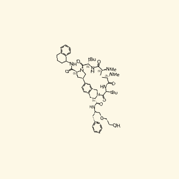 CN[C@@H](C)C(=O)NC(C(=O)N1Cc2cc(C3C[C@@H](C(=O)NC4CCCc5ccccc54)N(C(=O)[C@@H](NC(=O)[C@H](C)NC)C(C)(C)C)C3)ccc2C[C@H]1C(=O)NC(COCCO)Cc1ccccc1)C(C)(C)C